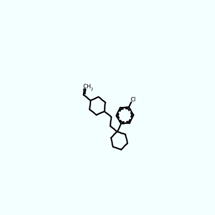 C=CC1CCC(CCC2(c3ccc(Cl)cc3)CCCCC2)CC1